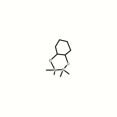 C[Si]1(C)OC2CCCCC2O[Si]1(C)C